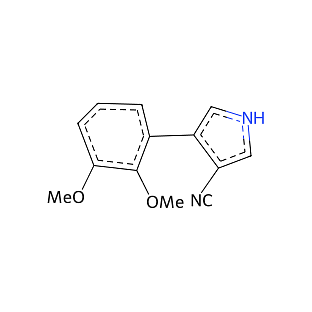 COc1cccc(-c2c[nH]cc2C#N)c1OC